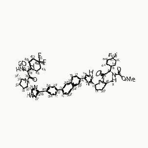 COC(=O)N[C@H](C(=O)N1[C@@H](C)CC[C@H]1c1nc(-c2ccc3cc(-c4ccc(-c5c[nH]c([C@@H]6CC[C@H](C)N6C(=O)[C@@H](NC(=O)O)C6CCC(F)(F)CC6)n5)cc4)ccc3c2)c[nH]1)C1CCC(F)(F)CC1